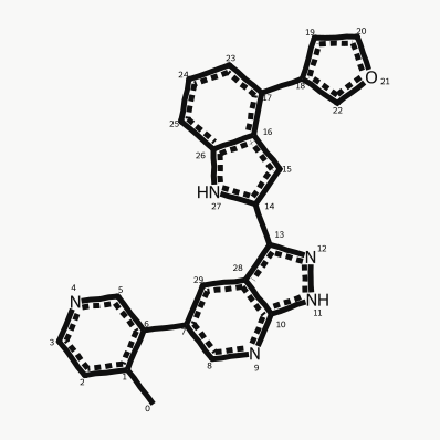 Cc1ccncc1-c1cnc2[nH]nc(-c3cc4c(-c5ccoc5)cccc4[nH]3)c2c1